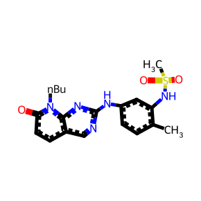 CCCCn1c(=O)ccc2cnc(Nc3ccc(C)c(NS(C)(=O)=O)c3)nc21